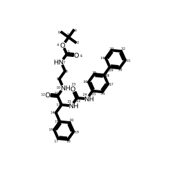 CC(C)(C)OC(=O)NCCNC(=O)C(Cc1ccccc1)NC(=O)Nc1ccc(-c2ccccc2)cc1